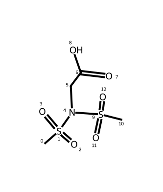 CS(=O)(=O)N(CC(=O)O)S(C)(=O)=O